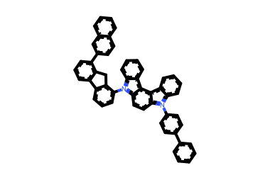 c1ccc(-c2ccc(-n3c4ccccc4c4c5c6ccccc6n(-c6cccc7c6Cc6c(-c8ccc9ccccc9c8)cccc6-7)c5ccc43)cc2)cc1